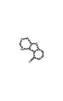 O=c1cccc2sc3cnc[nH]c3c12